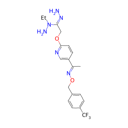 CCN(N)/C(COc1ccc(/C(C)=N/OCc2ccc(C(F)(F)F)cc2)cn1)=N\N